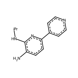 CC(C)Nc1nc(-c2ccncc2)ccc1N